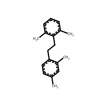 Cc1ccc(C[CH]c2c(C)cccc2C)c(C)c1